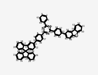 c1ccc(-c2nc(-c3ccc(-c4ccc5c(c4)-c4ccccc4C54c5ccccc5-c5ccccc54)cc3)nc(-c3ccc(-c4ccc5oc6ccccc6c5c4)cc3)n2)cc1